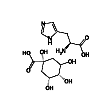 N[C@@H](Cc1cnc[nH]1)C(=O)O.O=C(O)[C@@]1(O)CC(O)[C@H](O)[C@H](O)C1